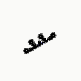 O=C(/C=C/C[C@@H](CCCOCc1ccccc1)OCc1ccccc1)/C=C/C[C@@H](CCCOCc1ccccc1)OCc1ccccc1